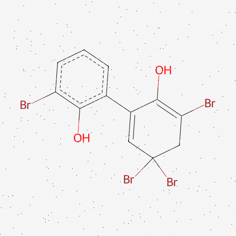 OC1=C(Br)CC(Br)(Br)C=C1c1cccc(Br)c1O